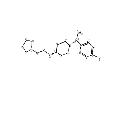 CN(c1ncc(Br)cn1)[C@H]1CC[C@H](OCCN2CCCC2)CC1